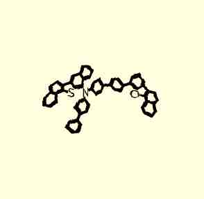 c1ccc(-c2ccc(N(c3ccc(-c4ccc(-c5cccc6c5oc5c7ccccc7ccc65)cc4)cc3)c3c4ccccc4cc4c3sc3c5ccccc5ccc43)cc2)cc1